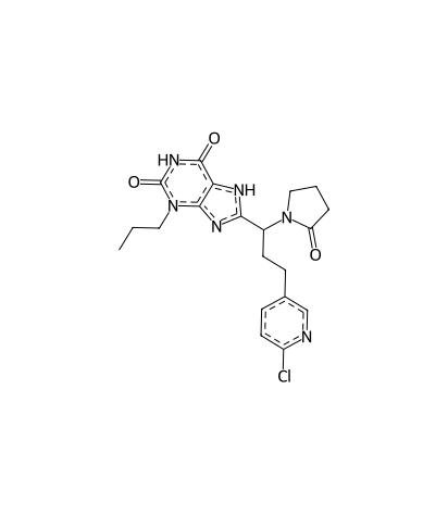 CCCn1c(=O)[nH]c(=O)c2[nH]c(C(CCc3ccc(Cl)nc3)N3CCCC3=O)nc21